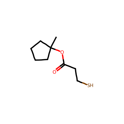 CC1(OC(=O)CCS)CCCC1